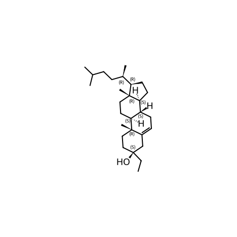 CC[C@]1(O)CC[C@@]2(C)C(=CC[C@H]3[C@@H]4CC[C@H]([C@H](C)CCC(C)C)[C@@]4(C)CC[C@@H]32)C1